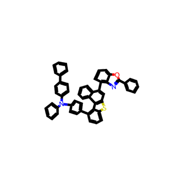 c1ccc(-c2ccc(N(c3ccccc3)c3ccc(-c4cccc5sc6cc(-c7cccc8oc(-c9ccccc9)nc78)c7ccccc7c6c45)cc3)cc2)cc1